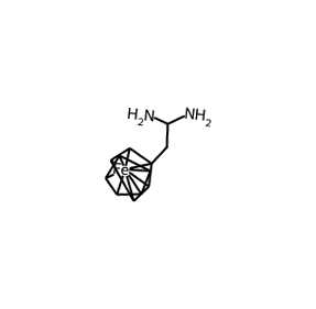 NC(N)C[C]12[CH]3[CH]4[CH]5[CH]1[Fe]45321678[CH]2[CH]1[CH]6[CH]7[CH]28